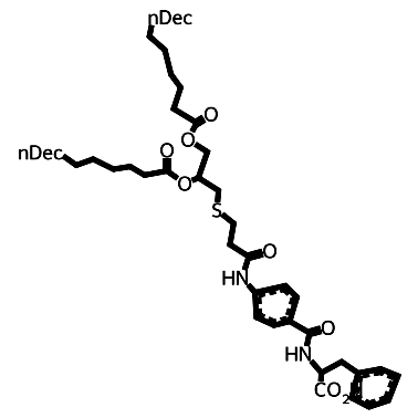 CCCCCCCCCCCCCCCC(=O)OCC(CSCCC(=O)Nc1ccc(C(=O)NC(Cc2ccccc2)C(=O)O)cc1)OC(=O)CCCCCCCCCCCCCCC